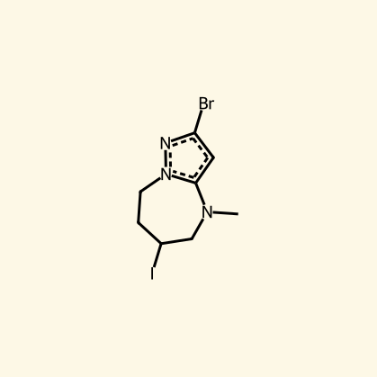 CN1CC(I)CCn2nc(Br)cc21